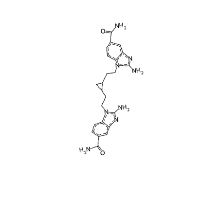 NC(=O)c1ccc2c(c1)nc(N)n2CCC1CC1CCn1c(N)nc2cc(C(N)=O)ccc21